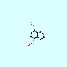 C[SiH](C)Oc1ccc(N=C=O)c2ccccc12